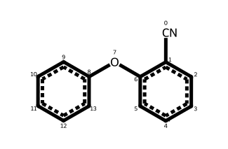 N#Cc1cc[c]cc1Oc1ccccc1